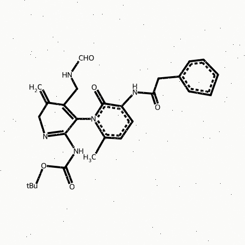 C=C1CN=C(NC(=O)OC(C)(C)C)C(n2c(C)ccc(NC(=O)Cc3ccccc3)c2=O)=C1CNC=O